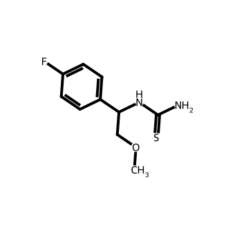 COCC(NC(N)=S)c1ccc(F)cc1